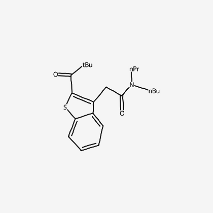 CCCCN(CCC)C(=O)Cc1c(C(=O)C(C)(C)C)sc2ccccc12